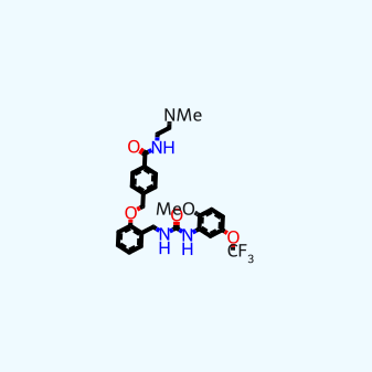 CNCCNC(=O)c1ccc(COc2ccccc2CNC(=O)Nc2cc(OC(F)(F)F)ccc2OC)cc1